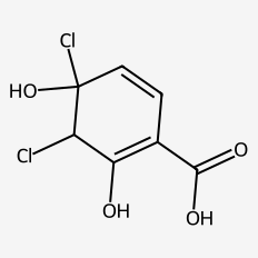 O=C(O)C1=C(O)C(Cl)C(O)(Cl)C=C1